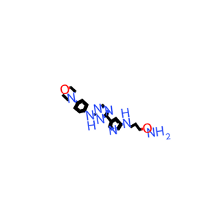 NOCCCNc1cncc(-c2ncnc(Nc3ccc(N4CCOCC4)cc3)n2)c1